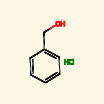 Cl.OCc1ccccc1